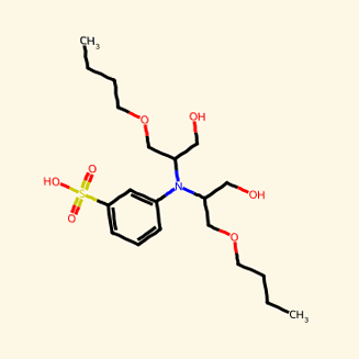 CCCCOCC(CO)N(c1cccc(S(=O)(=O)O)c1)C(CO)COCCCC